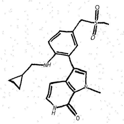 Cn1cc(-c2cc(CS(C)(=O)=O)ccc2NCC2CC2)c2cc[nH]c(=O)c21